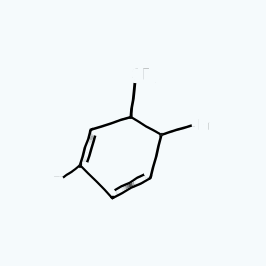 CC(C)C1C=CC(F)=CC1C(F)(F)F